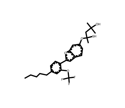 CCCCCc1ccc(-c2cc3ccc(OC(C)(S)CC(C)(C)O)cc3o2)c(OC(F)(F)F)c1